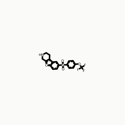 O=S(=O)(c1ccc(OC(F)(F)F)cc1)c1ccc2oc3c(c2c1)CCNC3